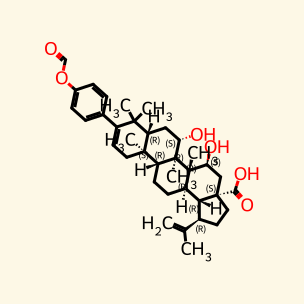 C=C(C)[C@@H]1CC[C@]2(C(=O)O)C[C@H](O)[C@]3(C)[C@H](CC[C@@H]4[C@@]5(C)CC=C(c6ccc(OC=O)cc6)C(C)(C)[C@@H]5C[C@H](O)[C@]43C)[C@@H]12